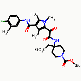 CCOC(=O)CC1(NC(=O)C(=O)c2c(C)c(C(=O)Nc3ccc(F)c(C)c3)c(C)n2C)CCN(C(=O)OC(C)(C)C)CC1